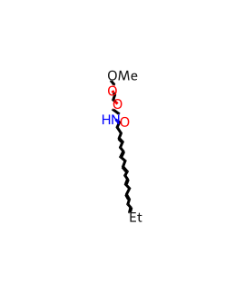 CCC=CCC=CCC=CCC=CCC=CCC=CCCC(=O)NCCOCCOCCOC